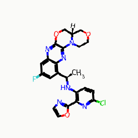 C[C@@H](Nc1ccc(Cl)nc1-c1ncco1)c1cc(F)cc2nc3c(nc12)N1CCOC[C@H]1CO3